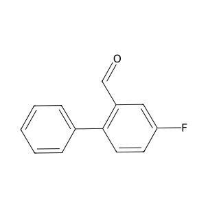 O=Cc1cc(F)ccc1-c1ccccc1